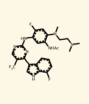 CC(=O)Nc1cc(Nc2ncc(C(F)(F)F)c(-c3c[nH]c4c(F)cccc34)n2)c(F)cc1N(C)CCN(C)C